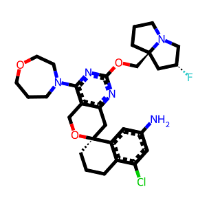 Nc1cc(Cl)c2c(c1)[C@]1(CCC2)Cc2nc(OC[C@@]34CCCN3C[C@H](F)C4)nc(N3CCCOCC3)c2CO1